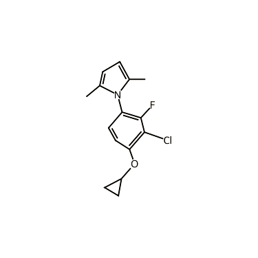 Cc1ccc(C)n1-c1ccc(OC2CC2)c(Cl)c1F